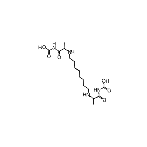 CC(NCCCCCCCCNC(C)C(=O)NC(=O)O)C(=O)NC(=O)O